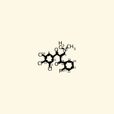 CN(C)C=C(C(=O)c1cc(Cl)c(Cl)c(Cl)c1)C(=O)c1ccccc1F